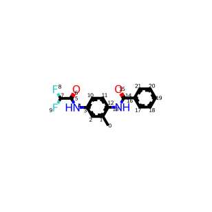 Cc1cc(NC(=O)C(F)F)ccc1NC(=O)c1ccccc1